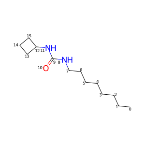 CCCCCCCCNC(=O)NC1CCC1